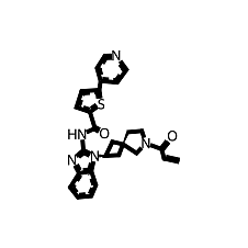 C=CC(=O)N1CC[C@]2(C1)C[C@H](n1c(NC(=O)c3ccc(-c4ccncc4)s3)nc3ccccc31)C2